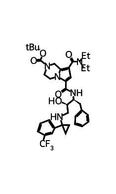 CCN(CC)C(=O)c1cc(C(=O)N[C@@H](Cc2ccccc2)[C@H](O)CNC2(c3cccc(C(F)(F)F)c3)CC2)n2c1CN(C(=O)OC(C)(C)C)CC2